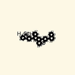 C[Si]1(C)c2ccccc2-c2ccc(-c3cc4c5cccc6c5c(cc4c4ccccc34)-c3ccc(-c4cccc5ccccc45)cc3O6)cc21